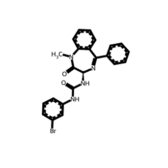 CN1C(=O)[C@H](NC(=O)Nc2cccc(Br)c2)N=C(c2ccccc2)c2ccccc21